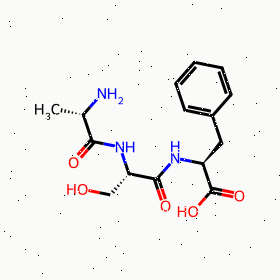 C[C@H](N)C(=O)N[C@@H](CO)C(=O)N[C@@H](Cc1ccccc1)C(=O)O